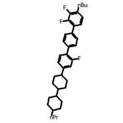 CCCCc1ccc(-c2ccc(-c3ccc(C4CCC(C5CCC(CCC)CC5)CC4)cc3F)cc2)c(F)c1F